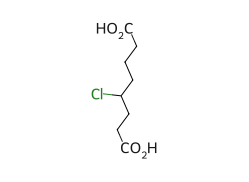 O=C(O)CCCC(Cl)CCC(=O)O